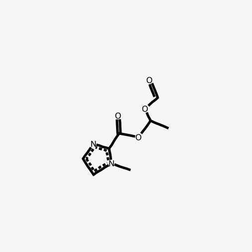 CC(OC=O)OC(=O)c1nccn1C